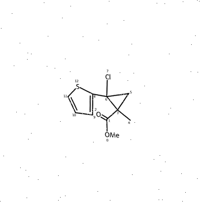 COC(=O)C1(C)CC1(Cl)c1cccs1